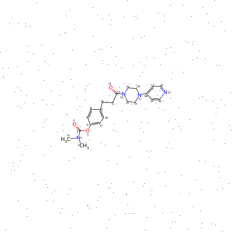 CN(C)C(=O)Oc1ccc(CCC(=O)N2CCN(c3ccncc3)CC2)cc1